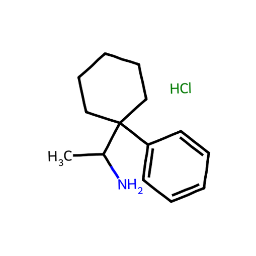 CC(N)C1(c2ccccc2)CCCCC1.Cl